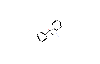 Cl.NNCC(O)(c1ccccc1)c1ccccc1